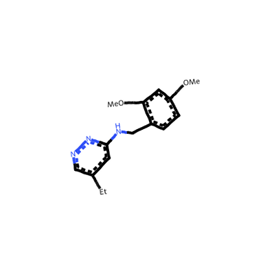 CCc1cnnc(NCc2ccc(OC)cc2OC)c1